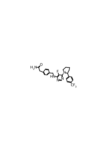 NC(=O)Cc1ccc(CNc2ncnc(N3CCCCC3c3ccc(C(F)(F)F)cc3)c2F)cc1